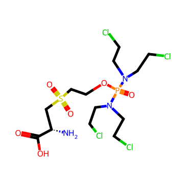 N[C@@H](CS(=O)(=O)CCOP(=O)(N(CCCl)CCCl)N(CCCl)CCCl)C(=O)O